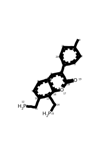 Cc1ccc(-c2cc3ccc(CP)c(CP)c3oc2=O)cc1